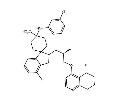 C[C@@H](COc1ccnc2c1[C@H](C)CCC2)CC1Cc2c(F)cccc2C12CCC(Nc1cccc(Cl)c1)(C(=O)O)CC2